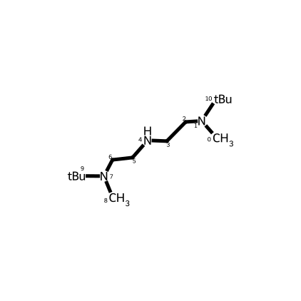 CN(CCNCCN(C)C(C)(C)C)C(C)(C)C